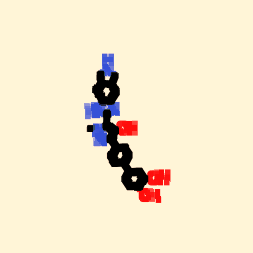 Cn1nc(-c2ccc(-c3ccc(O)c(O)c3)cc2)c(O)c1-c1nc2cc3c(cc2[nH]1)CNC3